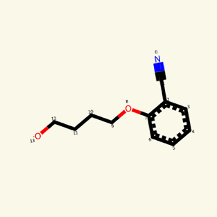 N#Cc1ccccc1OCCCC[O]